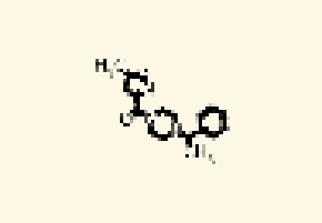 CC1CC(C(=O)N2CCN(C(C)c3ccccc3)CC2)=NO1